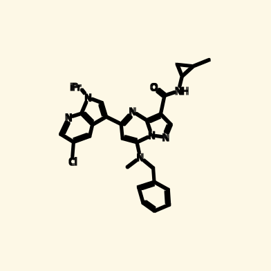 CC1CC1NC(=O)c1cnn2c(N(C)Cc3ccccc3)cc(-c3cn(C(C)C)c4ncc(Cl)cc34)nc12